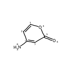 Nc1ccoc(=O)c1